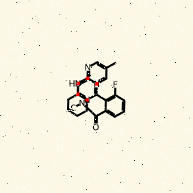 Cc1cnc(NC2CC3CCC2N(C(=O)c2cccc(F)c2-c2ncccn2)C3)nc1